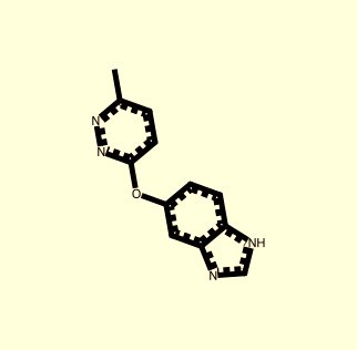 Cc1ccc(Oc2ccc3[nH]cnc3c2)nn1